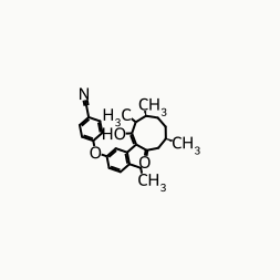 CCc1ccc(Oc2ccc(C#N)cc2)cc1/C1=C(\O)C(C)[C@@H](C)CC[C@@H](C)CC1=O